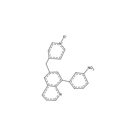 O=[N+]([O-])c1cccc(-c2cc(Cc3cc[n+]([O-])cc3)cc3cccnc23)c1